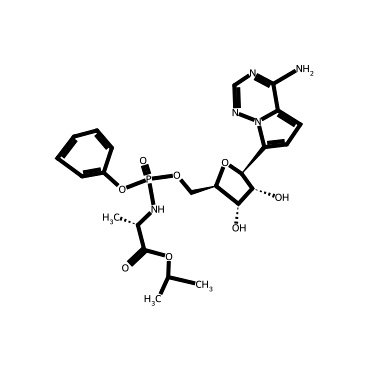 CC(C)OC(=O)[C@H](C)NP(=O)(OC[C@H]1O[C@@H](c2ccc3c(N)ncnn23)[C@H](O)[C@@H]1O)Oc1ccccc1